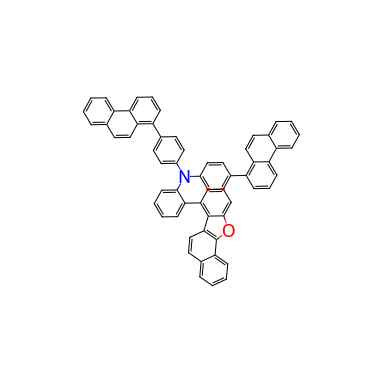 c1ccc(N(c2ccc(-c3cccc4c3ccc3ccccc34)cc2)c2ccc(-c3cccc4c3ccc3ccccc34)cc2)c(-c2cccc3oc4c5ccccc5ccc4c23)c1